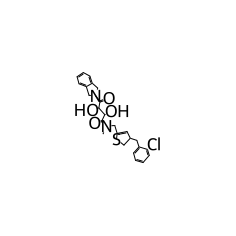 CN(CC1=CC(Cc2ccccc2Cl)CS1)C(=O)[C@H](O)[C@@H](O)C(=O)N1Cc2ccccc2C1